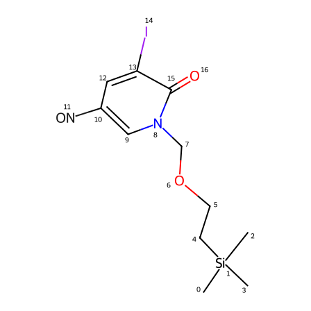 C[Si](C)(C)CCOCn1cc(N=O)cc(I)c1=O